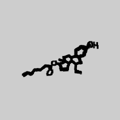 CCCCCCC(=O)OC1CCC2C3C(CC)Cc4cc(O)ccc4C3CCC12C